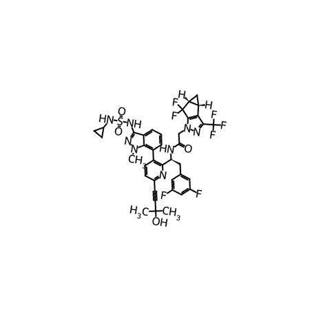 Cn1nc(NS(=O)(=O)NC2CC2)c2cccc(-c3ccc(C#CC(C)(C)O)nc3[C@H](Cc3cc(F)cc(F)c3)NC(=O)Cn3nc(C(F)(F)F)c4c3C(F)(F)[C@@H]3C[C@H]43)c21